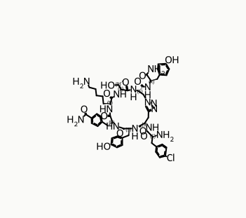 C[C@@H](O)[C@@H]1NC(=O)[C@H](CCCCCN)NC(=O)[C@@H](Cc2ccc(C(N)=O)cc2)NC(=O)[C@H](Cc2ccc(O)cc2)NC(=O)[C@@H](NC(=O)[C@@H](N)Cc2ccc(Cl)cc2)Cc2cn(nn2)C[C@@H](C(=O)N[C@H](Cc2ccc(O)cc2)C(N)=O)NC1=O